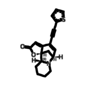 O=C1C=C2C(C#Cc3cccs3)=C[C@@H]3C[C@@]2(O1)[C@H]1CCCCN31